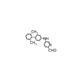 Cc1cccc(C)c1-c1ccc(Nc2ccc(C=O)nc2)cc1